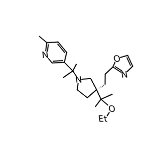 CCOC(C)(C)[C@@]1(CCc2ncco2)CCN(C(C)(C)c2ccc(C)nc2)C1